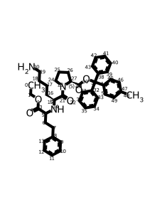 CCOC(=O)C(CCc1ccccc1)N[C@@H](CCCCN)C(=O)N1CCC[C@H]1C(=O)OC(c1ccccc1)(c1ccccc1)c1ccc(C)cc1